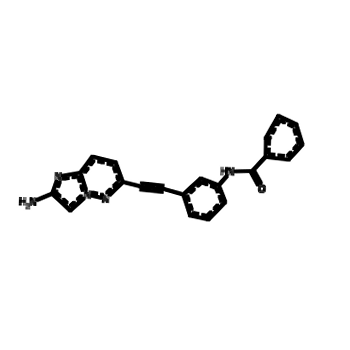 Nc1cn2nc(C#Cc3cccc(NC(=O)c4ccccc4)c3)ccc2n1